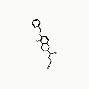 [N-]=[N+]=NC[C@H](O)[C@H]1CCc2c(ccc(OCc3ccccc3)c2F)O1